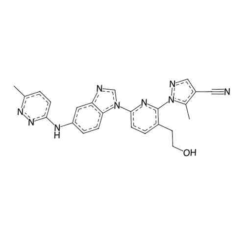 Cc1ccc(Nc2ccc3c(c2)ncn3-c2ccc(CCO)c(-n3ncc(C#N)c3C)n2)nn1